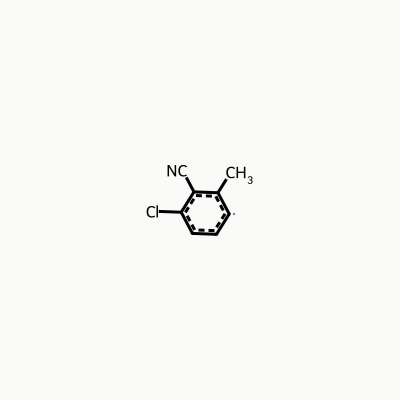 Cc1[c]ccc(Cl)c1C#N